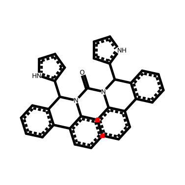 O=C(N1c2ccccc2-c2ccccc2C1c1ccc[nH]1)N1c2ccccc2-c2ccccc2C1c1ccc[nH]1